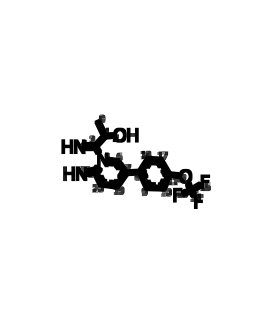 CC(O)C(=N)n1cc(-c2ccc(OC(F)(F)F)cc2)ccc1=N